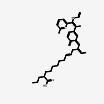 C=CN/C(=C(\C)c1ccc(=C)/c(=C\C(=C/C)C/C=C/CCCCCCC(CCC)C(=O)O)c1)c1cccc(C)n1